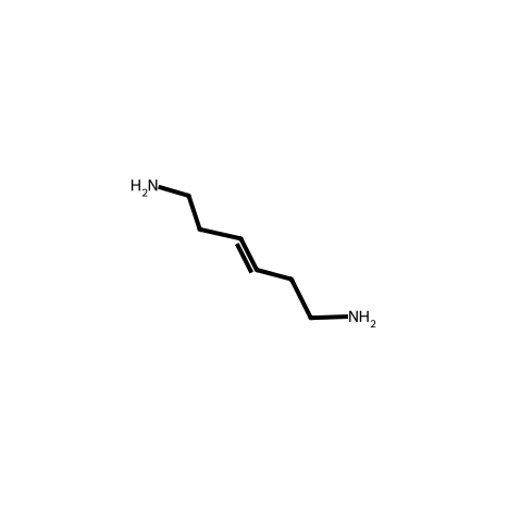 NCC/C=C/CCN